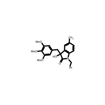 COc1cc(CC2(O)C(=O)N(CC(C)C)c3ccc(C)cc32)cc(OC)c1OC